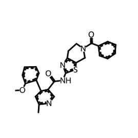 COc1ccccc1-c1cc(C)ncc1C(=O)Nc1nc2c(s1)CN(C(=O)c1ccccc1)CC2